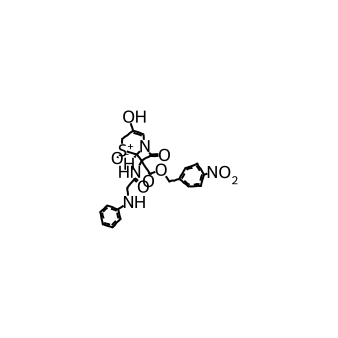 O=C(CNc1ccccc1)NC1(C(=O)OCc2ccc([N+](=O)[O-])cc2)C(=O)N2C=C(O)C[S+]([O-])[C@H]21